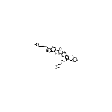 COCC#CCn1ncc2cc(C(=O)Nc3cc4c(cn3)cc(CN3CCC[C@@H]3C)n4COCC[Si](C)(C)C)ccc21